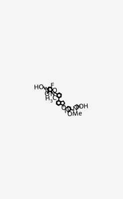 COc1nc(O[C@H]2CCc3c(-c4cccc(-c5nc6c(=O)n(CCO)cc(F)c6o5)c4C)cccc32)ccc1CN1CC[C@@H](O)C1